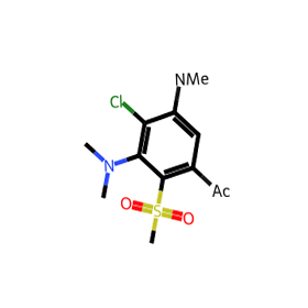 CNc1cc(C(C)=O)c(S(C)(=O)=O)c(N(C)C)c1Cl